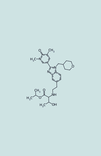 Cc1cc(-c2nc3cc(CCNC(C(=O)OC(C)C)C(C)O)ccc3n2CC2CCOCC2)cn(C)c1=O